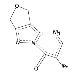 CC(C)c1c[nH]c2c3c(nn2c1=O)COC3